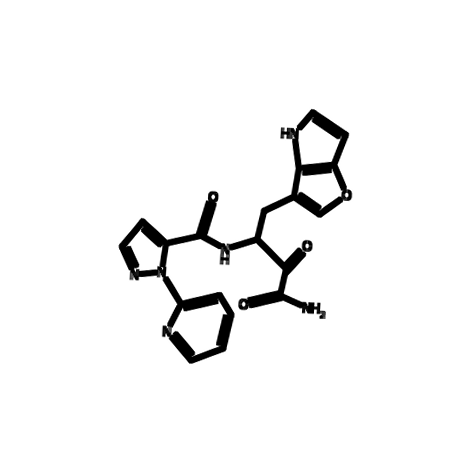 NC(=O)C(=O)C(Cc1coc2cc[nH]c12)NC(=O)c1ccnn1-c1ccccn1